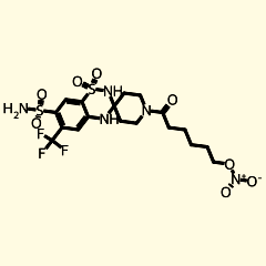 NS(=O)(=O)c1cc2c(cc1C(F)(F)F)NC1(CCN(C(=O)CCCCCO[N+](=O)[O-])CC1)NS2(=O)=O